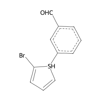 O=Cc1cccc([SH]2C=CC=C2Br)c1